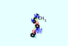 Cn1ccnc1-c1cc2nccc(Oc3ccc(NC(=S)NC(=O)Cc4ccccc4F)cc3)c2s1